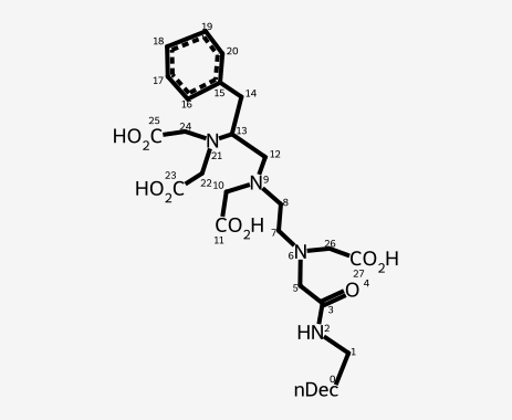 CCCCCCCCCCCNC(=O)CN(CCN(CC(=O)O)CC(Cc1ccccc1)N(CC(=O)O)CC(=O)O)CC(=O)O